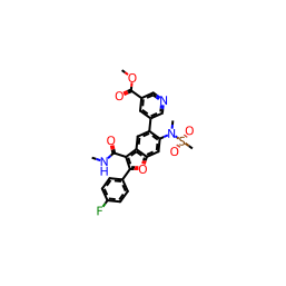 CNC(=O)c1c(-c2ccc(F)cc2)oc2cc(N(C)S(C)(=O)=O)c(-c3cncc(C(=O)OC)c3)cc12